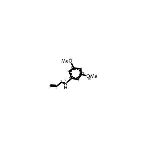 [CH]=CCNc1cc(OC)cc(OC)c1